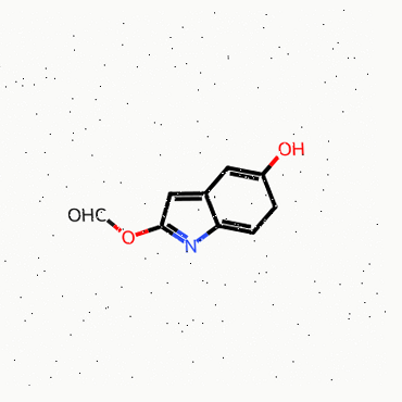 O=COC1=NC2=CCC(O)=CC2=C1